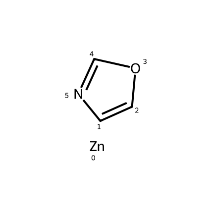 [Zn].c1cocn1